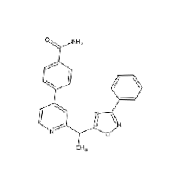 CC(c1cc(-c2ccc(C(N)=O)cc2)ccn1)c1nc(-c2ccccc2)no1